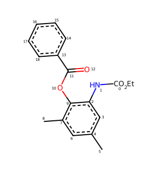 CCOC(=O)Nc1cc(C)cc(C)c1OC(=O)c1ccccc1